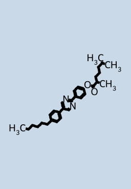 CCCCCCc1ccc(-c2cnc(-c3ccc(OC(=O)C(C)CCCC(C)C)cc3)nc2)cc1